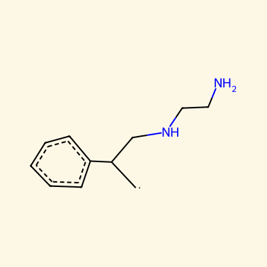 [CH2]C(CNCCN)c1ccccc1